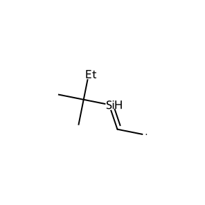 [CH2]C=[SiH]C(C)(C)CC